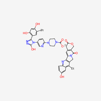 CCc1c2c(nc3ccc(O)cc13)-c1cc3c(c(=O)n1C2)COC(=O)[C@H]3OC(=O)N1CCN(c2ccc(-n3c(O)nnc3-c3cc(C(C)C)c(O)cc3O)cn2)CC1